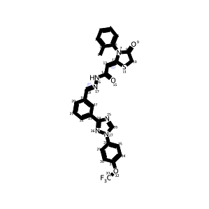 Cc1ccccc1N1C(=O)CS/C1=C\C(=O)N/N=C/c1cccc(-c2ncn(-c3ccc(OC(F)(F)F)cc3)n2)c1